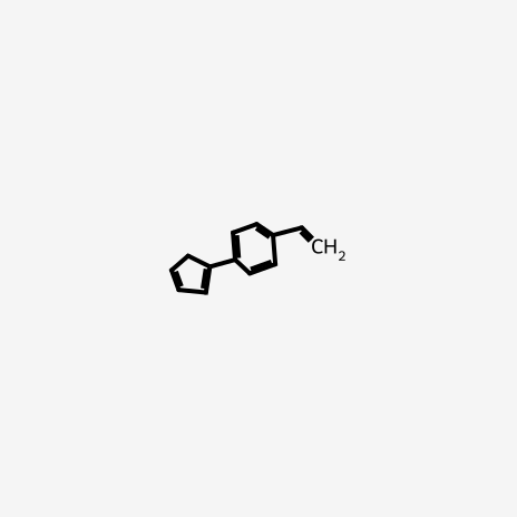 C=Cc1ccc(C2=CC=CC2)cc1